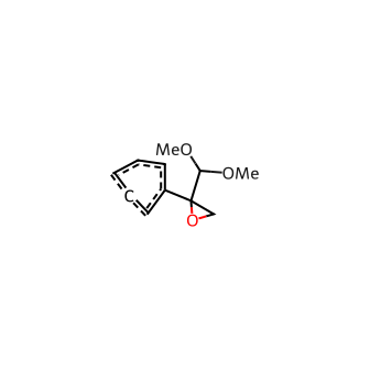 COC(OC)C1(c2ccccc2)CO1